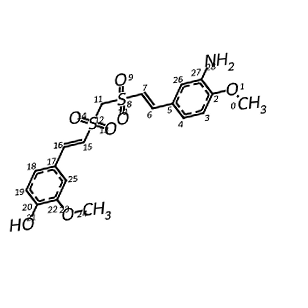 COc1ccc(/C=C/S(=O)(=O)CS(=O)(=O)/C=C/c2ccc(O)c(OC)c2)cc1N